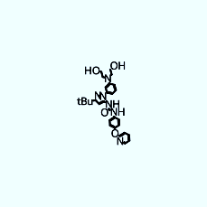 CC(C)(C)c1cc(NC(=O)Nc2ccc(Oc3ccccn3)cc2)n(-c2cccc(N(CCO)CCO)c2)n1